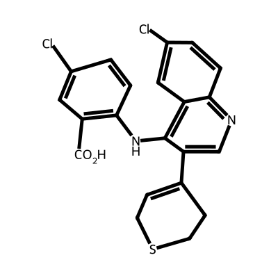 O=C(O)c1cc(Cl)ccc1Nc1c(C2=CCSCC2)cnc2ccc(Cl)cc12